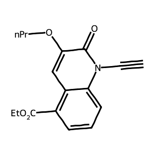 C#Cn1c(=O)c(OCCC)cc2c(C(=O)OCC)cccc21